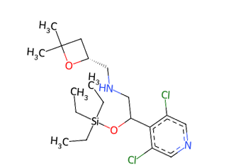 CC[Si](CC)(CC)OC(CNC[C@H]1CC(C)(C)O1)c1c(Cl)cncc1Cl